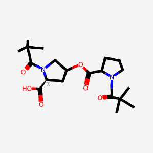 CC(C)(C)C(=O)N1CCCC1C(=O)OC1C[C@@H](C(=O)O)N(C(=O)C(C)(C)C)C1